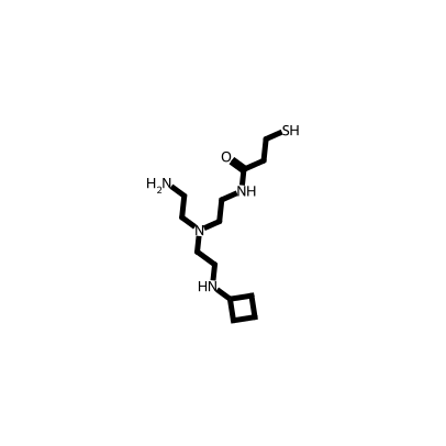 NCCN(CCNC(=O)CCS)CCNC1CCC1